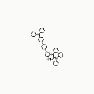 c1ccc(N(c2ccccc2)c2ccc(-c3ccc(-c4ccc5c(c4)N(c4ccccc4)c4c(c6ccccc6n4-c4ccccc4)N5)cc3)cc2)cc1